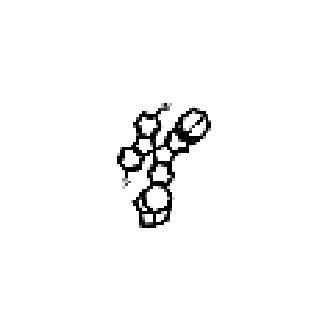 Brc1ccc2c(c1)C1(c3cc(Br)ccc3-2)c2cc3c(cc2-c2cc4c(cc21)C1CC2CC5CC4CC52C1)C1CC2CC(C1)CC3C2